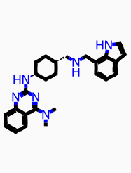 CN(C)c1nc(N[C@H]2CC[C@@H](CNCc3cccc4cc[nH]c34)CC2)nc2ccccc12